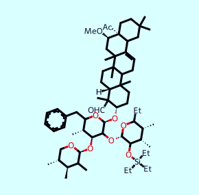 CCC1O[C@@H](OC2[C@H](O[C@H]3CCC4(C)C5CC=C6C7CC(C)(C)CC[C@]7(C(C)=O)[C@H](OC)CC6(C)C5(C)CC[C@H]4C3(C)C=O)OC(Cc3ccccc3)[C@@H](C)[C@@H]2O[C@@H]2OC[C@@H](C)[C@H](C)C2C)C(O[Si](CC)(CC)CC)[C@@H](C)[C@H]1C